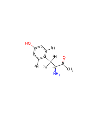 [2H]c1cc(O)cc([2H])c1C([2H])([2H])[C@H](N)C(C)=O